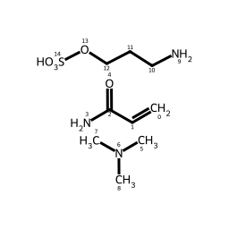 C=CC(N)=O.CN(C)C.NCCCOS(=O)(=O)O